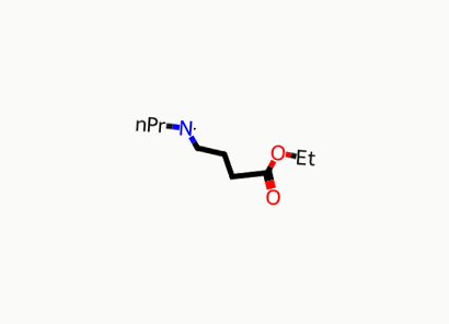 CCC[N]CCCC(=O)OCC